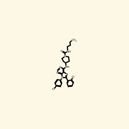 CCCCNC(=O)N1CCC(Nc2ncnc3c2nc(-c2ccccc2Cl)n3-c2ccc(Cl)cc2)CC1